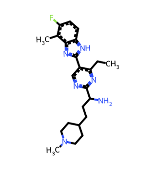 CCc1nc(C(N)CCC2CCN(C)CC2)ncc1-c1nc2c(C)c(F)ccc2[nH]1